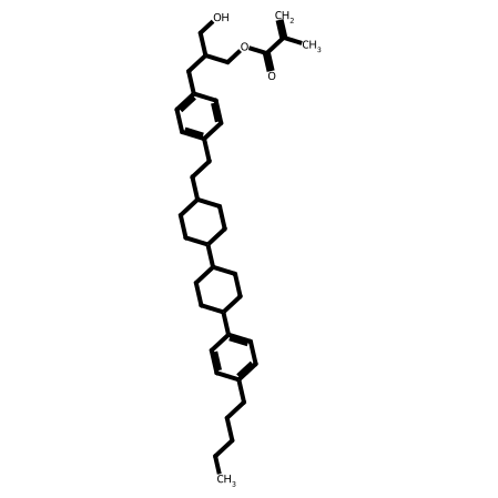 C=C(C)C(=O)OCC(CO)Cc1ccc(CCC2CCC(C3CCC(c4ccc(CCCCC)cc4)CC3)CC2)cc1